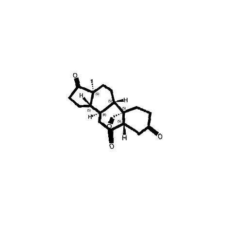 C[C@]12CC[C@H]3[C@@H](CC(=O)[C@H]4CC(=O)CC[C@@]43C=O)[C@@H]1CCC2=O